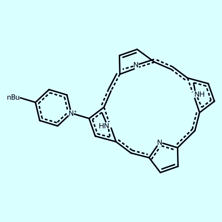 CCCCc1cc[n+](-c2cc3cc4nc(cc5ccc(cc6nc(cc2[nH]3)C=C6)[nH]5)C=C4)cc1